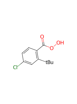 CC(C)(C)c1cc(Cl)ccc1C(=O)OO